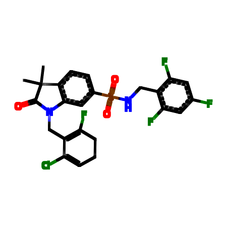 CC1(C)C(=O)N(CC2=C(F)CCC=C2Cl)c2cc(S(=O)(=O)NCc3c(F)cc(F)cc3F)ccc21